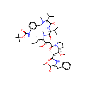 CC[C@H](C)[C@@H]([C@@H](CC(=O)N1CCC[C@H]1[C@H](OC)[C@@H](C)C(=O)N[C@@H](Cc1ccccc1)C(=O)OC)OC)N(C)C(=O)[C@@H](NC(=O)[C@H](C(C)C)N(C)Cc1cccc(NC(=O)OC(C)(C)C)c1)C(C)C